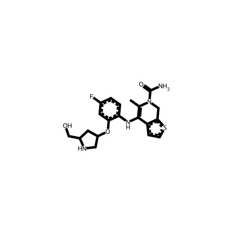 CC1=C(Nc2ccc(F)cc2OC2CNC(CO)C2)c2ccsc2CN1C(N)=O